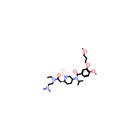 BN1CC(N(C(=O)c2ccc(OC)c(OCCCOC)c2)C(C)C)CC[C@H]1CC(=O)N(CC)CCN(C)C